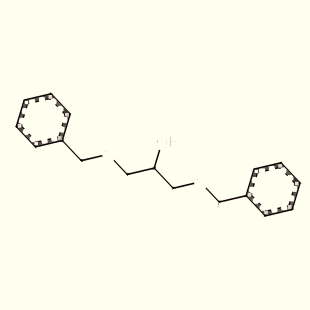 OC(CSCc1ccccc1)CSCc1ccccc1